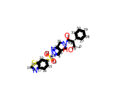 C[C@H](O)[C@H](C(=O)N1Cc2cn(S(=O)(=O)c3ccc4ncsc4c3)nc2C1)c1ccccc1